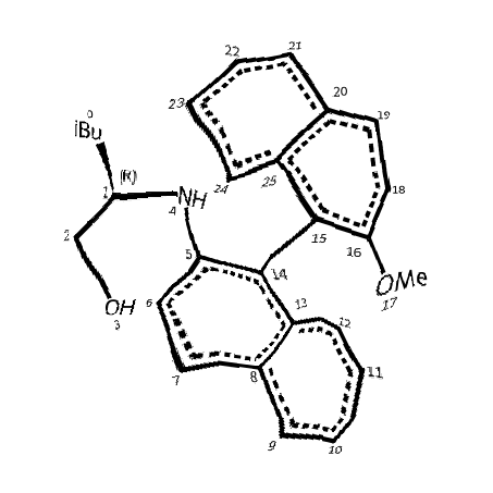 CCC(C)[C@H](CO)Nc1ccc2ccccc2c1-c1c(OC)ccc2ccccc12